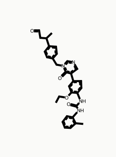 CCOc1cc(-c2cncn(Cc3ccc(C(C)CC=O)cc3)c2=O)ccc1NC(=O)Nc1ccccc1C